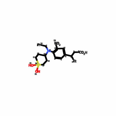 CCC(CC(=O)O)c1ccc(N(CC(C)C)C2CCS(O)(O)CC2)c([N+](=O)[O-])c1